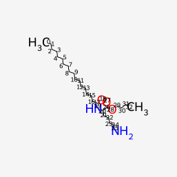 CCCCCCCCCCCCCCCCCC(=O)NC(CCCCN)C(=O)OCCCC